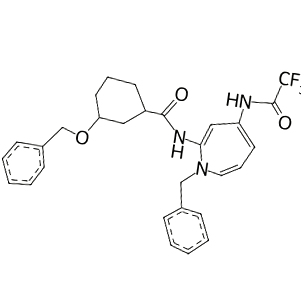 O=C(NC1=CC(NC(=O)C(F)(F)F)=CC=CN1Cc1ccccc1)C1CCCC(OCc2ccccc2)C1